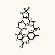 Cc1cc2[nH]c(=O)c3cnn(C4CCOCC4)c3c2cc1C(=O)N1CC(N2CCC(F)(F)C2)C1